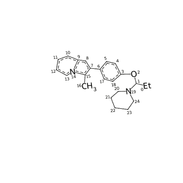 CCC(Oc1ccc(-c2cc3ccccn3c2C)cc1)N1CCCCC1